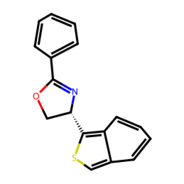 c1ccc(C2=N[C@H](c3scc4ccccc34)CO2)cc1